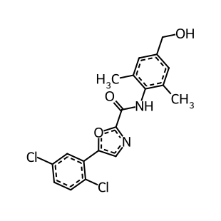 Cc1cc(CO)cc(C)c1NC(=O)c1ncc(-c2cc(Cl)ccc2Cl)o1